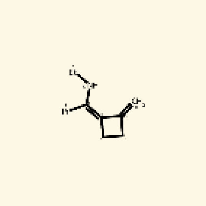 C=C1CC/C1=C(/NCC)C(C)C